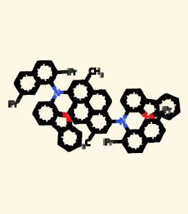 Cc1cc(N(c2c(C(C)C)ccc3ccc(C(C)C)cc23)c2cccc3c2oc2ccccc23)c2ccc3c(C)cc(N(c4c(C(C)C)ccc5ccc(C(C)C)cc45)c4cccc5c4oc4ccccc45)c4ccc1c2c34